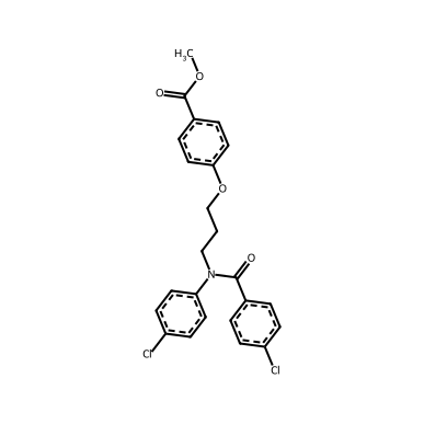 COC(=O)c1ccc(OCCCN(C(=O)c2ccc(Cl)cc2)c2ccc(Cl)cc2)cc1